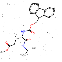 CC[C@H](C)[C@H](NC(=O)[C@H](CCC(=O)OC(C)(C)C)NC(=O)OCC1c2ccccc2-c2ccccc21)C(=O)O